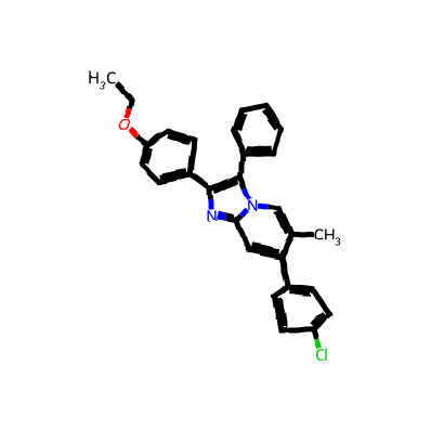 CCOc1ccc(-c2nc3cc(-c4ccc(Cl)cc4)c(C)cn3c2-c2ccccc2)cc1